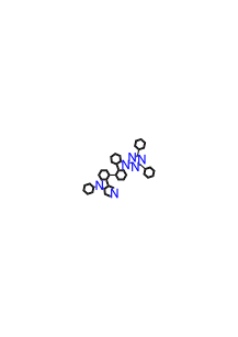 c1ccc(-c2nc(-c3ccccc3)nc(-n3c4ccccc4c4c(-c5cccc6c5c5cnccc5n6-c5ccccc5)cccc43)n2)cc1